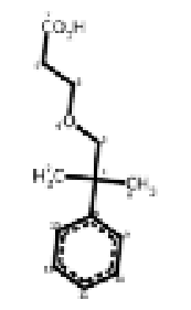 CC(C)(COCCC(=O)O)c1ccccc1